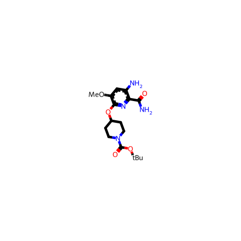 COc1cc(N)c(C(N)=O)nc1OC1CCN(C(=O)OC(C)(C)C)CC1